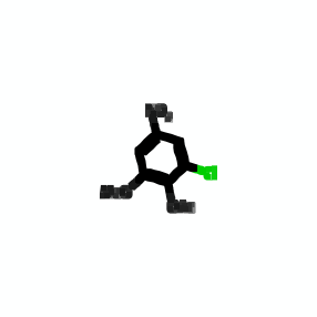 COc1cc([N+](=O)[O-])cc(Cl)c1OC(C)=O